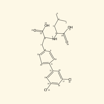 CC(C)CC(NC(Cc1ccc(-c2cc(Cl)cc(Cl)c2)cc1)C(=O)O)C(=O)O